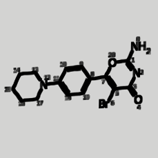 Nc1nc(=O)c(Br)c(-c2ccc(N3CCCCC3)cc2)o1